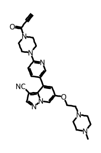 C#CC(=O)N1CCN(c2ccc(-c3cc(OCCN4CCN(C)CC4)cn4ncc(C#N)c34)cn2)CC1